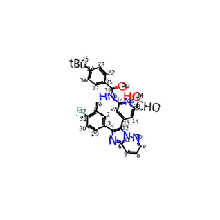 Cc1cc(-c2nc3cccnn3c2-c2ccnc(NC(=O)c3ccc(C(C)(C)C)cc3)c2)ccc1F.O=CO